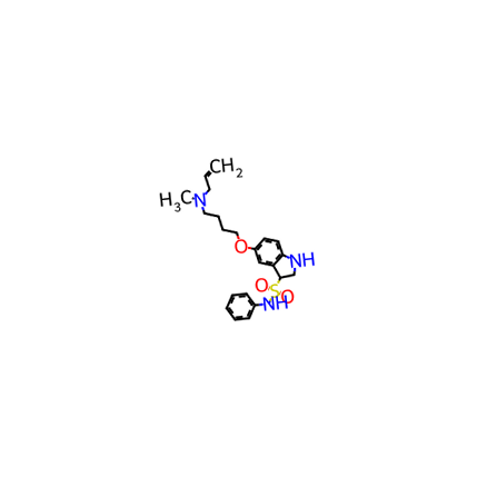 C=CCN(C)CCCCOc1ccc2c(c1)C(S(=O)(=O)Nc1ccccc1)CN2